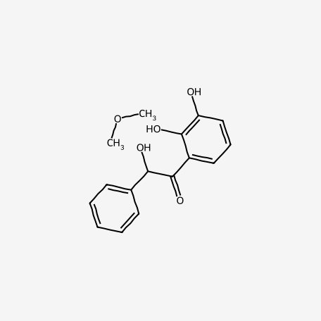 COC.O=C(c1cccc(O)c1O)C(O)c1ccccc1